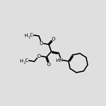 CCOC(=O)C(=CNC1=CCCCCCC1)C(=O)OCC